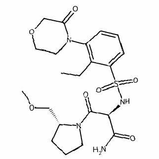 CCc1c(N2CCOCC2=O)cccc1S(=O)(=O)N[C@@H](C(N)=O)C(=O)N1CCC[C@@H]1COC